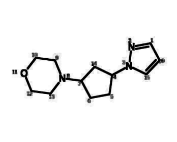 [c]1cnn(C2CCC(N3CCOCC3)C2)c1